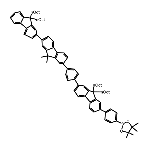 CCCCCCCCC1(CCCCCCCC)c2ccccc2-c2ccc(-c3ccc4c(c3)C(C)(C)c3cc(-c5ccc(-c6ccc7c(c6)C(CCCCCCCC)(CCCCCCCC)c6cc(-c8ccc(B9OC(C)(C)C(C)(C)O9)cc8)ccc6-7)cc5)ccc3-4)cc21